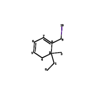 CCC1(C)CC=CC=C1CI